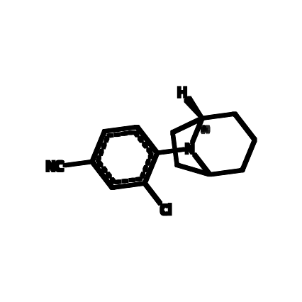 N#Cc1ccc(N2C3CCC[C@H]2CC3)c(Cl)c1